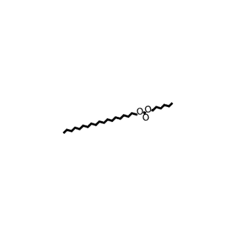 CCCCCCCCCCCCCCCCCCCOC(=O)OCCCCCC